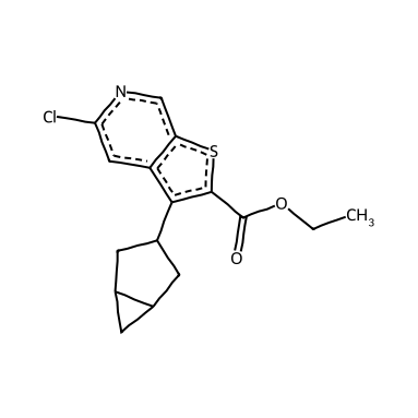 CCOC(=O)c1sc2cnc(Cl)cc2c1C1CC2CC2C1